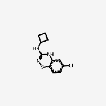 Clc1ccc2c(c1)NC(NC1CCC1)=NS2